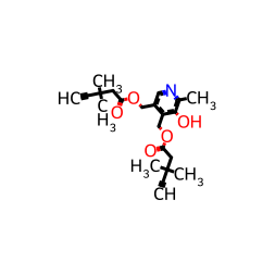 C#CC(C)(C)CC(=O)OCc1cnc(C)c(O)c1COC(=O)CC(C)(C)C#C